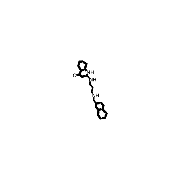 O=c1cc(NCCCNCc2ccc3ccccc3c2)[nH]c2ccccc12